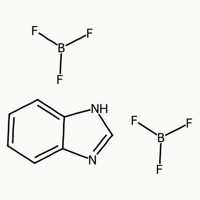 FB(F)F.FB(F)F.c1ccc2[nH]cnc2c1